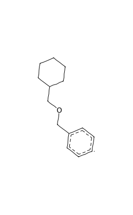 [c]1ccc(COCC2CCCCC2)cc1